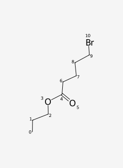 CCCOC(=O)CCCCBr